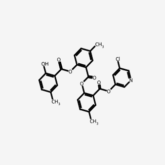 Cc1ccc(O)c(C(=O)Oc2ccc(C)cc2C(=O)Oc2ccc(C)cc2C(=O)Oc2cncc(Cl)c2)c1